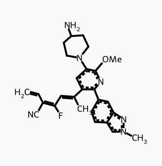 C=C/C(C#N)=C(F)\C=C(/C)c1cc(N2CCC(N)CC2)c(OC)nc1-c1ccc2cn(C)nc2c1